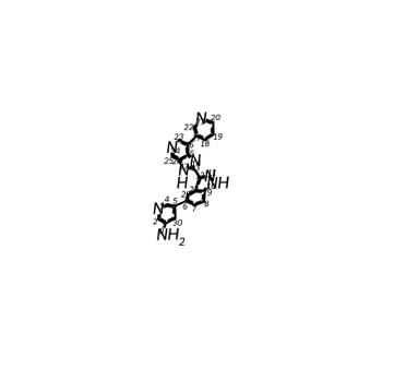 Nc1cncc(-c2ccc3[nH]nc(-c4nc5c(-c6cccnc6)cncc5[nH]4)c3c2)c1